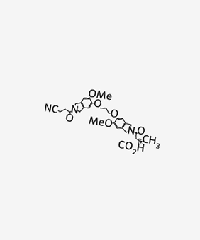 COc1cc2c(cc1OCCCOc1cc3c(cc1OC)CN(C(=O)C[C@H](C)C(=O)O)C3)CN(C(=O)CCC#N)C2